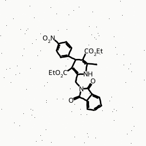 CCOC(=O)C1=C(C)NC(CN2C(=O)c3ccccc3C2=O)=C(C(=O)OCC)C1c1ccc([N+](=O)[O-])cc1